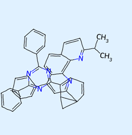 CC(C)c1ccc2ccc3c(-c4ccccc4)cc(C45C=CC=C(c6nc(-c7ccccc7)nc(-c7ccccc7)n6)C4C5)nc3c2n1